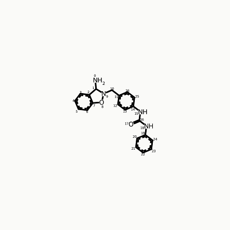 NC1c2ccccc2ON1Cc1ccc(NC(=O)Nc2ccccc2)cc1